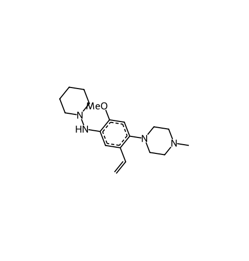 C=Cc1cc(NN2CCCCC2)c(OC)cc1N1CCN(C)CC1